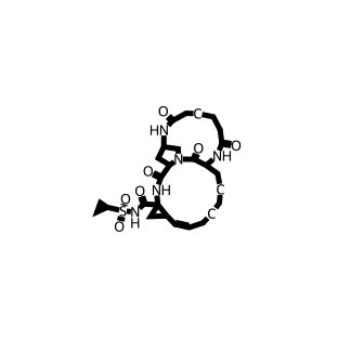 O=C1CCCCC(=O)NC2CCCCC/C=C\C3CC3(C(=O)NS(=O)(=O)C3CC3)NC(=O)C3CC(CN3C2=O)N1